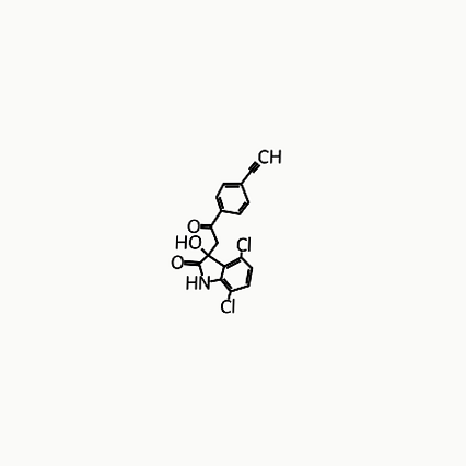 C#Cc1ccc(C(=O)CC2(O)C(=O)Nc3c(Cl)ccc(Cl)c32)cc1